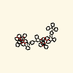 c1ccc([Si](c2ccccc2)(c2ccccc2)c2ccc(-c3ccccc3N(c3ccc(-c4cc5c6ccccc6c(-c6ccc(N(c7ccc([Si](c8ccccc8)(c8ccccc8)c8ccccc8)cc7)c7ccccc7-c7ccc([Si](c8ccccc8)(c8ccccc8)c8ccccc8)cc7)cc6)cc5c5ccccc45)cc3)c3ccc([Si](c4ccccc4)(c4ccccc4)c4ccccc4)cc3)cc2)cc1